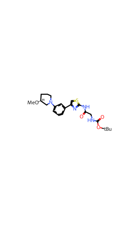 CO[C@@H]1CCCN(c2cccc(-c3csc(NC(=O)CNC(=O)OC(C)(C)C)n3)c2)C1